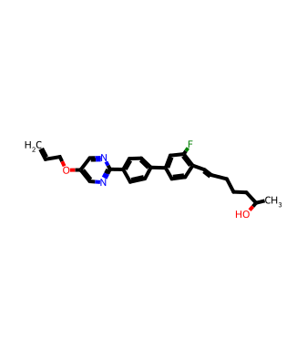 C=CCOc1cnc(-c2ccc(-c3ccc(C=CCCCC(C)O)c(F)c3)cc2)nc1